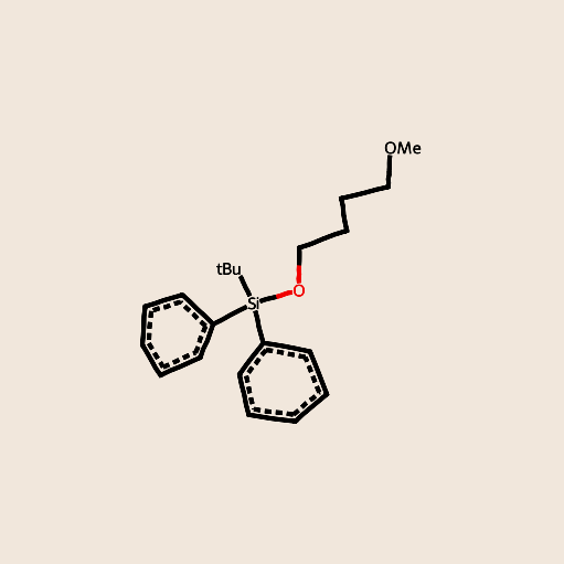 COCCCCO[Si](c1ccccc1)(c1ccccc1)C(C)(C)C